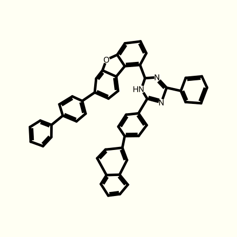 c1ccc(C2=NC(c3cccc4oc5cc(-c6ccc(-c7ccccc7)cc6)ccc5c34)NC(c3ccc(-c4ccc5ccccc5c4)cc3)=N2)cc1